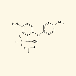 Nc1ccc(Oc2ccc(N)cc2C(O)(C(F)(F)F)C(F)(F)F)cc1